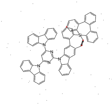 c1ccc2c(c1)-c1ccccc1[Si]1(c3ccccc3-2)c2ccccc2-c2cc3c4ccccc4n(-c4nc(-n5c6ccccc6c6ccccc65)cc(-n5c6ccccc6c6ccccc65)n4)c3cc2-c2ccccc21